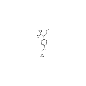 CCCC(C(=O)OC)c1ccc(SCC2CC2)cc1